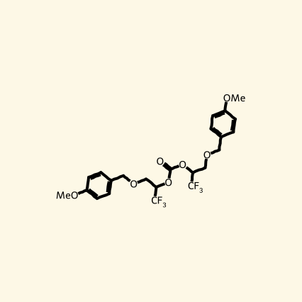 COc1ccc(COCC(OC(=O)OC(COCc2ccc(OC)cc2)C(F)(F)F)C(F)(F)F)cc1